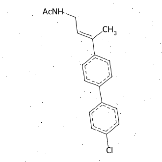 CC(=O)NCC=C(C)c1ccc(-c2ccc(Cl)cc2)cc1